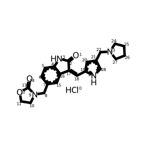 Cl.O=C1Nc2ccc(CN3CCOC3=O)cc2C1=Cc1cc(CN2CCCC2)c[nH]1